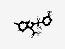 CC(C)(c1cccc(N)c1)c1oc2cc(I)ccc2c1C(=O)O